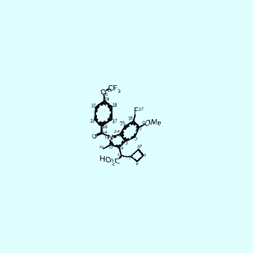 COc1cc2c(C(C(=O)O)C3CCC3)c(C)n(C(=O)c3ccc(OC(F)(F)F)cc3)c2cc1F